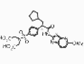 COc1ccc2nc(NC(=O)[C@H](CC3CCCC3)c3ccc(S(=O)(=O)N(CC(=O)O)CC(=O)O)cc3)sc2n1